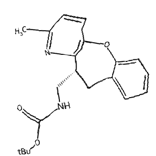 Cc1ccc2c(n1)[C@@H](CNC(=O)OC(C)(C)C)Cc1ccccc1O2